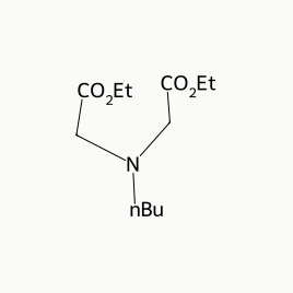 CCCCN(CC(=O)OCC)CC(=O)OCC